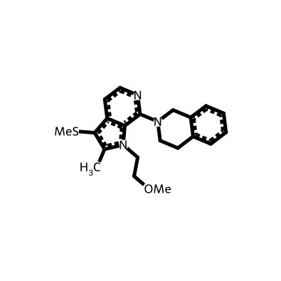 COCCn1c(C)c(SC)c2ccnc(N3CCc4ccccc4C3)c21